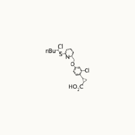 CCCCC(Cl)Sc1cccc(COc2ccc(C3CC3C(=O)O)c(Cl)c2)n1